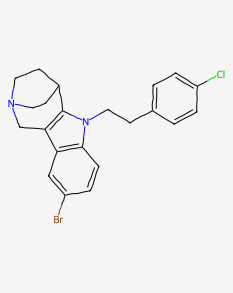 Clc1ccc(CCn2c3c(c4cc(Br)ccc42)CN2CCC3CC2)cc1